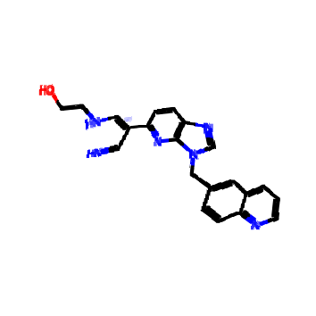 N=C/C(=C\NCCO)c1ccc2ncn(Cc3ccc4ncccc4c3)c2n1